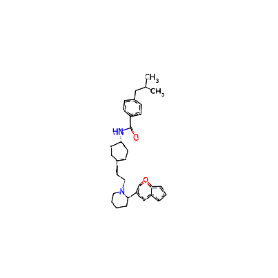 CC(C)Cc1ccc(C(=O)N[C@H]2CC[C@H](CCN3CCCCC3c3coc4cccc-4c3)CC2)cc1